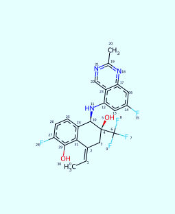 C/C=C1/C[C@@](O)(C(F)(F)F)[C@H](Nc2cc(F)cc3nc(C)ncc23)c2ccc(F)c(O)c21